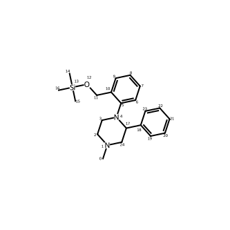 CN1CCN(c2ccccc2CO[Si](C)(C)C)C(c2ccccc2)C1